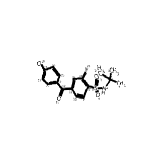 CC(C)(C)NS(=O)(=O)c1ccc(C(=O)c2ccc(Cl)cc2)cc1F